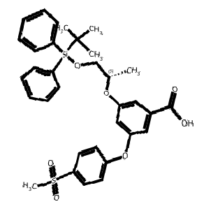 C[C@@H](CO[Si](c1ccccc1)(c1ccccc1)C(C)(C)C)Oc1cc(Oc2ccc(S(C)(=O)=O)cc2)cc(C(=O)O)c1